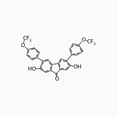 O=C1c2cc(O)c(-c3ccc(OC(F)(F)F)cc3)cc2-c2cc(-c3ccc(OC(F)(F)F)cc3)c(O)cc21